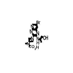 CC(CO)Nc1nc2cc(Br)cnc2nc1N1CC(N(C)C(=O)O)C1